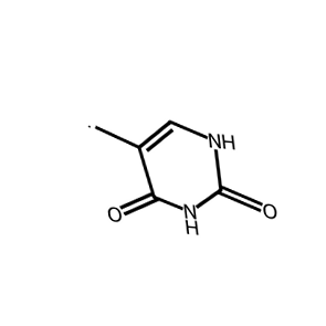 [CH2]c1c[nH]c(=O)[nH]c1=O